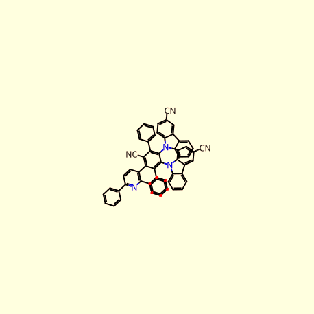 N#Cc1ccc2c(c1)c1ccccc1n2-c1c(-c2ccccc2)c(C#N)c(-c2ccc(-c3ccccc3)nc2-c2ccccc2)c(-c2ccccc2)c1-n1c2ccccc2c2cc(C#N)ccc21